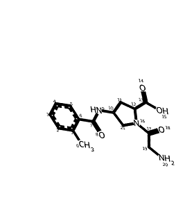 Cc1ccccc1C(=O)NC1CC(C(=O)O)N(C(=O)CN)C1